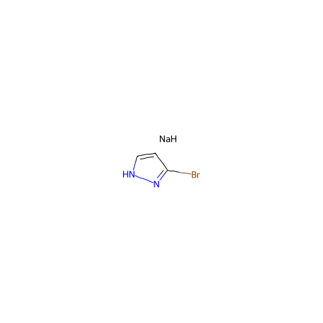 Brc1cc[nH]n1.[NaH]